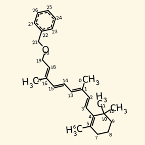 CC(C=CC1=C(C)CCCC1(C)C)=CC=CC(C)=CCOCc1ccccc1